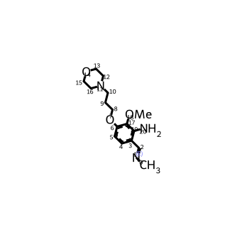 C/N=C/c1ccc(OCCCN2CCOCC2)c(OC)c1N